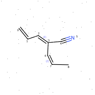 C=C/C=C(C#N)\C=C/C